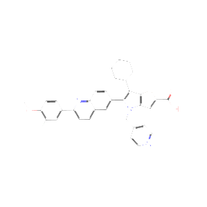 COc1ccc(-c2ccc3cc(-c4c(C5CCCCC5)c5sc(C(=O)O)cc5n4Cc4ccncc4)ccc3n2)cc1F